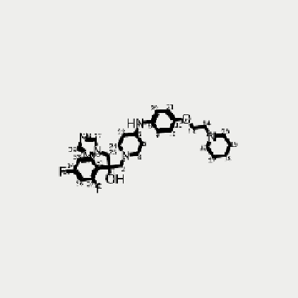 OC(CN1CCC(Nc2ccc(OCCN3CCCCC3)cc2)CC1)(Cn1cncn1)c1ccc(F)cc1F